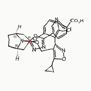 O=C(O)c1ccc(-c2nnc(N3[C@@H]4CC[C@H]3C[C@@H](OCc3c(-c5c(Cl)cccc5Cl)noc3C3CC3)C4)o2)cn1